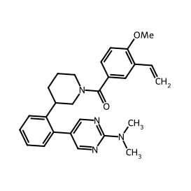 C=Cc1cc(C(=O)N2CCCC(c3ccccc3-c3cnc(N(C)C)nc3)C2)ccc1OC